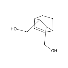 OCC1C2C=CC(CC2)C1CO